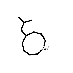 CC(C)CC1CCCCNCCC1